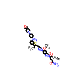 COC(=O)C(CCC(N)=O)NC(=O)c1ccc(NCC#Cc2sc3c(NC4CCC(N5CCC6(CC5)COC6)CC4)cccc3c2CC(F)(F)F)c(OCC(F)(F)F)c1